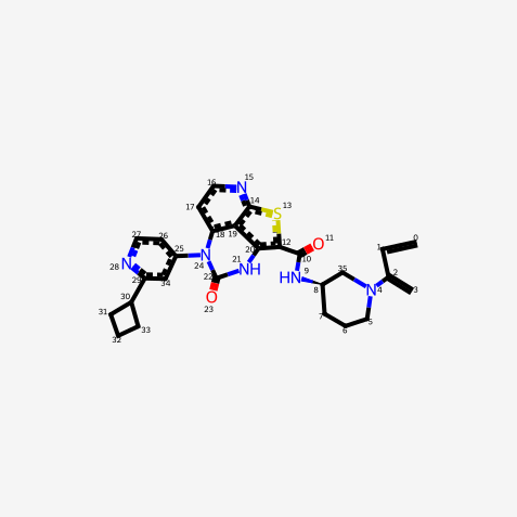 C=CC(=C)N1CCC[C@@H](NC(=O)c2sc3nccc4c3c2NC(=O)N4c2ccnc(C3CCC3)c2)C1